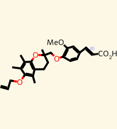 C=CCOc1c(C)c(C)c2c(c1C)CCC(C)(COc1ccc(/C=C/C(=O)O)cc1OC)O2